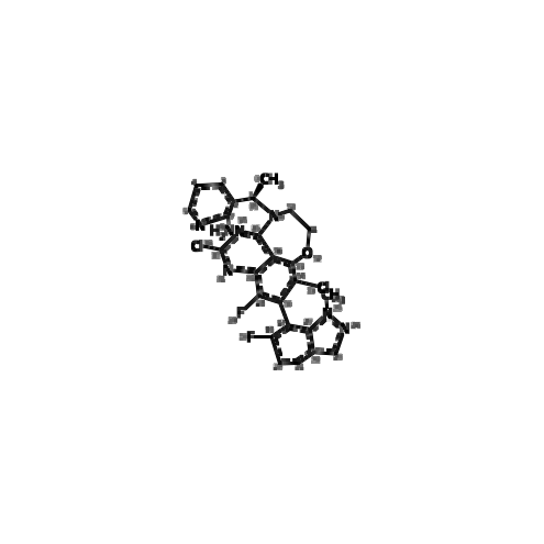 C[C@H](c1cccnc1N)N1CCOc2c(Cl)c(-c3c(F)ccc4cnn(C)c34)c(F)c3nc(Cl)nc1c23